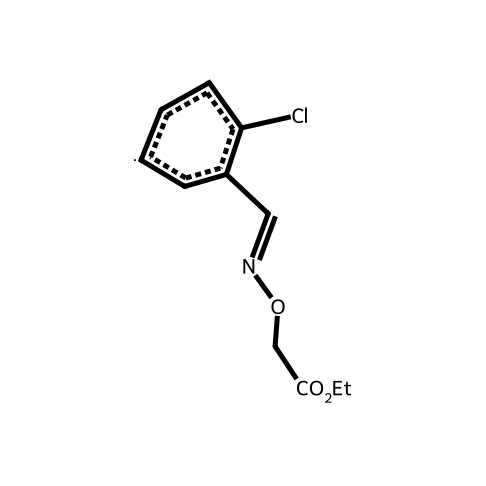 CCOC(=O)CON=Cc1c[c]ccc1Cl